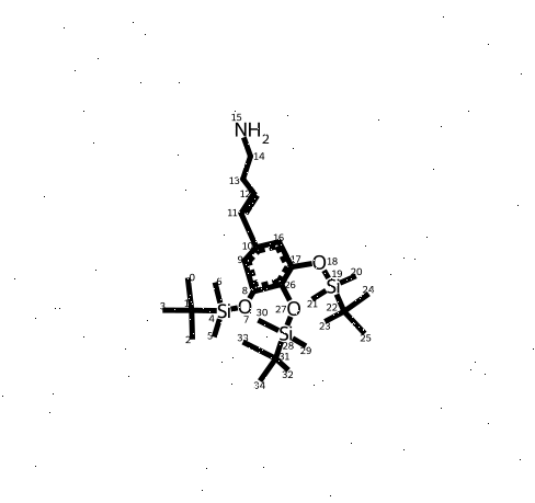 CC(C)(C)[Si](C)(C)Oc1cc(C=CCCN)cc(O[Si](C)(C)C(C)(C)C)c1O[Si](C)(C)C(C)(C)C